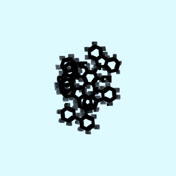 N#Cc1c(-n2c3ccccc3c3ccccc32)c(C#N)c(-n2c3ccccc3c3ccccc32)c(-n2c3ccc(-c4ccccc4-c4ccccc4)cc3c3ccc4oc5ccccc5c4c32)c1-n1c2ccccc2c2ccccc21